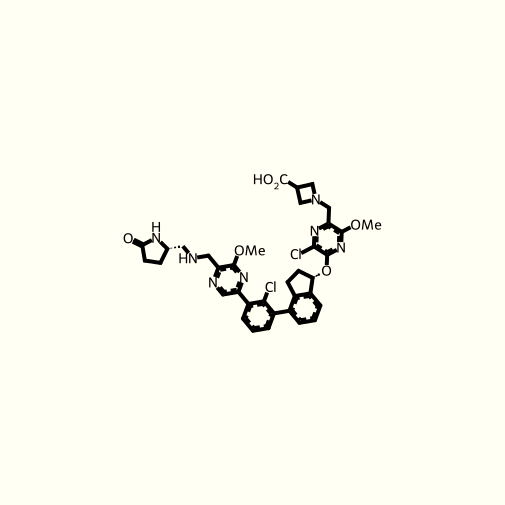 COc1nc(-c2cccc(-c3cccc4c3CC[C@@H]4Oc3nc(OC)c(CN4CC(C(=O)O)C4)nc3Cl)c2Cl)cnc1CNC[C@@H]1CCC(=O)N1